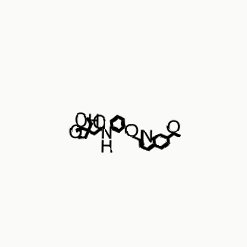 CCC(CC)(CC(=O)Nc1cccc(OCc2ccc3ccc(C(C)=O)cc3n2)c1)C(=O)O